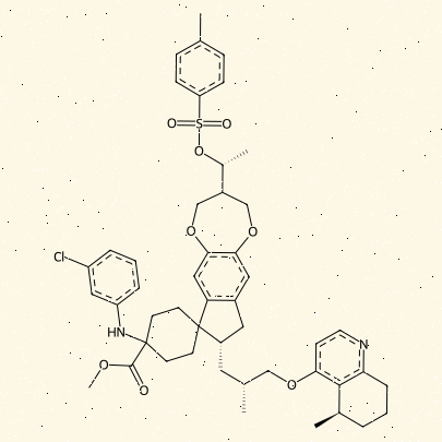 COC(=O)C1(Nc2cccc(Cl)c2)CCC2(CC1)c1cc3c(cc1C[C@@H]2C[C@@H](C)COc1ccnc2c1[C@H](C)CCC2)OCC([C@@H](C)OS(=O)(=O)c1ccc(C)cc1)CO3